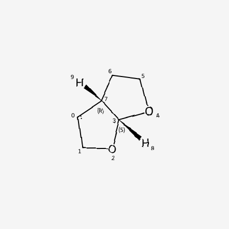 [C]1CO[C@H]2OCC[C@@H]12